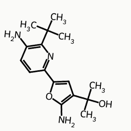 CC(C)(C)c1nc(-c2cc(C(C)(C)O)c(N)o2)ccc1N